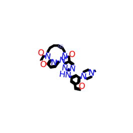 CN1CCN(c2cc(Nc3ncc4c(=O)n5n(c4n3)-c3ccc4c(n3)N(CCC/C=C\C5)C(=O)CO4)cc3ccoc23)CC1